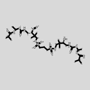 CC(OC(=O)NC[C@H](N=O)C(C)(C)COS(=O)(=O)CCCS(=O)(=O)OCC(C)(C)[C@@H](O)CNC(=O)OC(C)OC(=O)C(C)C)OC(=O)C(C)C